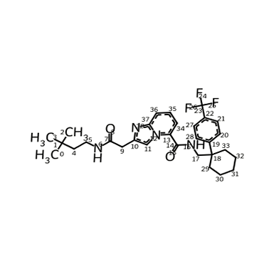 CC(C)(C)CCNC(=O)Cc1cn2c(C(=O)NCC3(c4ccc(C(F)(F)F)cc4)CCCCC3)cccc2n1